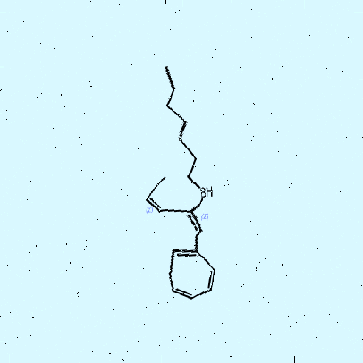 C/C=C\C(BCCCCCCC)=C/C1=CCC=CC=C1